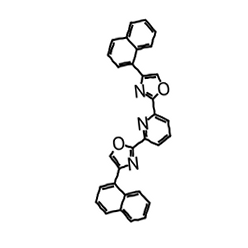 c1cc(-c2nc(-c3cccc4ccccc34)co2)nc(-c2nc(-c3cccc4ccccc34)co2)c1